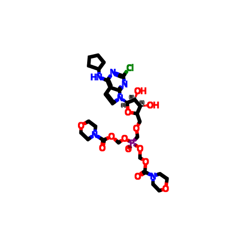 O=C(OCOP(=O)(COCC1O[C@@H](n2ccc3c(NC4CCCC4)nc(Cl)nc32)[C@H](O)[C@@H]1O)OCOC(=O)N1CCOCC1)N1CCOCC1